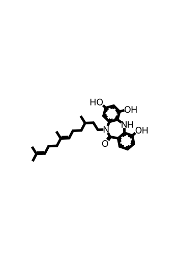 CC(C)=CCC/C(C)=C/CCC(C)CCN1C(=O)c2cccc(O)c2Nc2c(O)cc(O)cc21